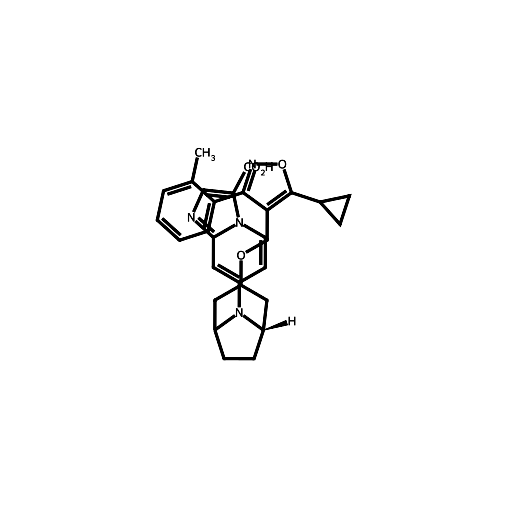 Cc1ccccc1-c1noc(C2CC2)c1COC1CC2CC[C@@H](C1)N2c1ccn2c(C(=O)O)cnc2c1